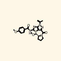 C=C(C)n1nc(C(=O)N2CCC[C@H]2COC)c2sc(NC(=O)c3ccc(OC)cc3)nc21